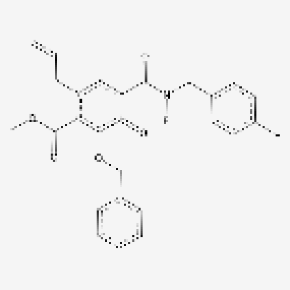 C=CCn1cc(C(=O)N(F)Cc2ccc(F)cc2)c(=O)c(OCc2ccccc2)c1C(=O)OC